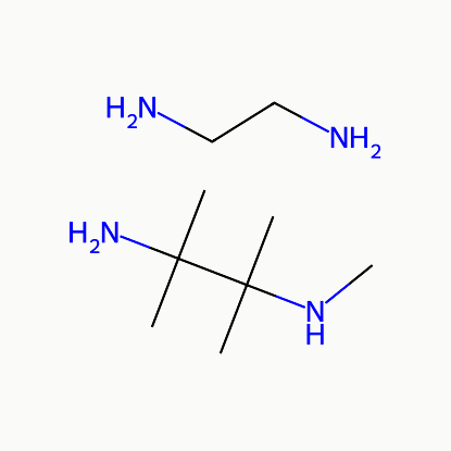 CNC(C)(C)C(C)(C)N.NCCN